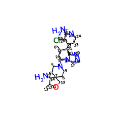 Cc1cc(N2CCC3(CC2)COC(C)C3N)n2cnnc2c1-c1ccnc(N)c1Cl